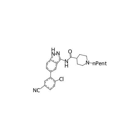 CCCCCN1CCC(C(=O)Nc2n[nH]c3ccc(-c4cc(C#N)ccc4Cl)cc23)CC1